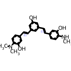 CNc1ccc(/C=C/c2cc(O)cc(/C=C/c3ccc(N(C)C)c(O)c3)c2)cc1O